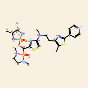 Cc1sc(-c2ccncc2)nc1CCN(C)c1csc(C(OP2(=O)N[C@@H](C)[C@H](C)N2)P2(=O)N(C)CCN2C)n1